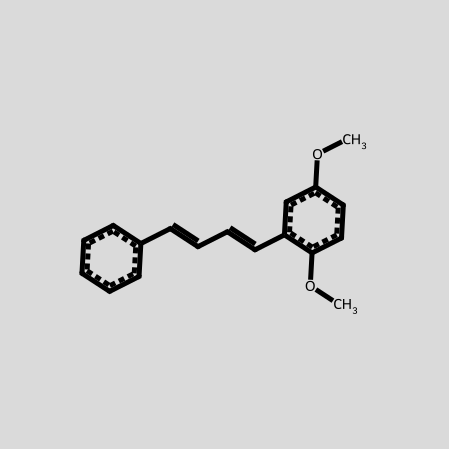 COc1ccc(OC)c(C=CC=Cc2ccccc2)c1